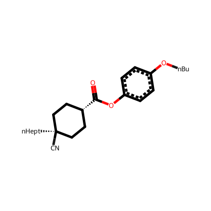 CCCCCCC[C@]1(C#N)CC[C@H](C(=O)Oc2ccc(OCCCC)cc2)CC1